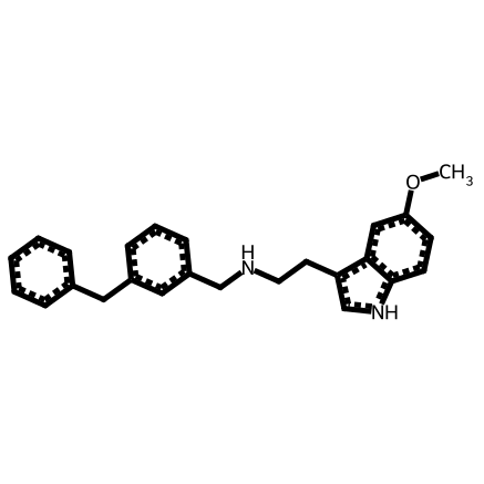 COc1ccc2[nH]cc(CCNCc3cccc(Cc4ccccc4)c3)c2c1